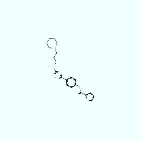 O=C(Nc1ccc(-c2nnc(NCCCN3CCCCC3)o2)cc1)c1ccco1